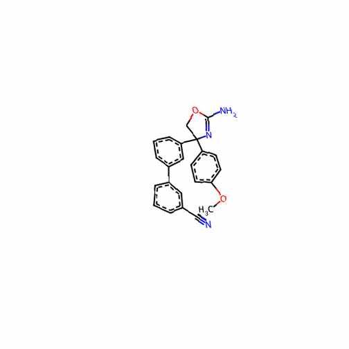 COc1ccc(C2(c3cccc(-c4cccc(C#N)c4)c3)COC(N)=N2)cc1